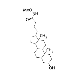 CONC(=O)CCCC1CCC2C3CCC4C[C@H](O)CCC4(C)C3CCC12C